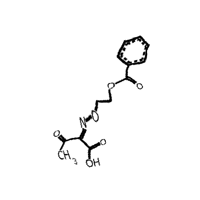 CC(=O)/C(=N/OCCOC(=O)c1ccccc1)C(=O)O